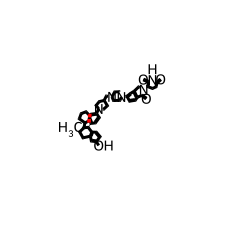 C[C@]1(C2CCCCC2)CCc2cc(O)ccc2[C@H]1c1ccc(N2CCC(CN3CCN(c4ccc5c(c4)CN([C@H]4CCC(=O)NC4=O)C5=O)CC3)CC2)cc1